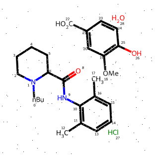 CCCCN1CCCCC1C(=O)Nc1c(C)cccc1C.COc1cc(C(=O)O)ccc1O.Cl.O